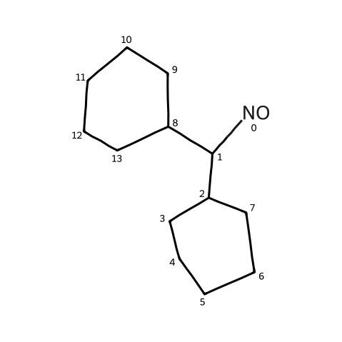 O=NC(C1CCCCC1)C1CCCCC1